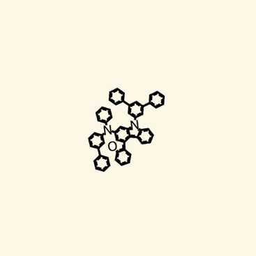 c1ccc(-c2cccc(N(c3ccccc3)c3cc4c(c5ccccc5n4-c4cc(-c5ccccc5)cc(-c5ccccc5)c4)c4c3oc3ccccc34)c2)cc1